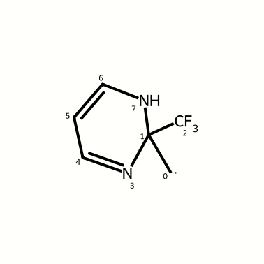 [CH2]C1(C(F)(F)F)N=CC=CN1